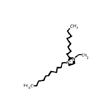 CCCCCCCCCCC[n+]1ccn(CC)c1CCCCCCCC